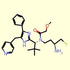 COCC(=O)N(CC[C@H](N)CF)[C@@H](c1nc(-c2ccccc2)c(Cc2ccncc2)[nH]1)C(C)(C)C